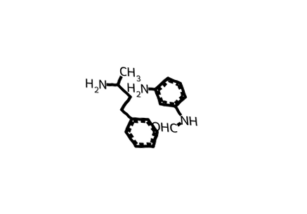 CC(N)CCc1ccccc1.Nc1cccc(NC=O)c1